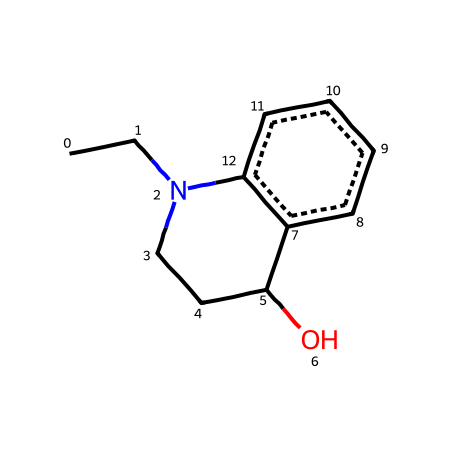 CCN1CCC(O)c2ccccc21